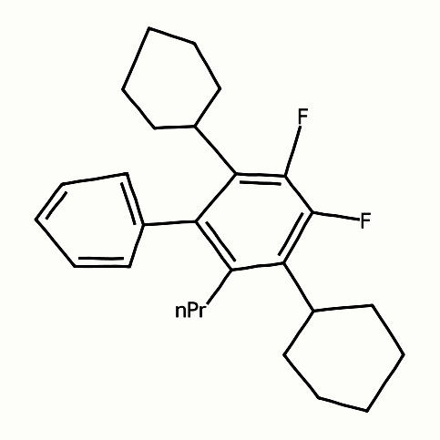 CCCc1c(-c2ccccc2)c(C2CCCCC2)c(F)c(F)c1C1CCCCC1